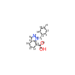 Cc1ccc(Cn2ncc3cccc(C(=O)O)c32)cc1